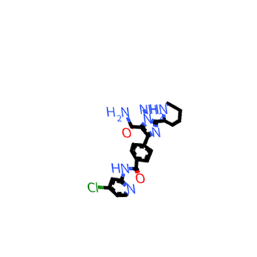 NC(=O)c1c(-c2ccc(C(=O)Nc3cc(Cl)ccn3)cc2)nc(C2CCCCN2)n1N